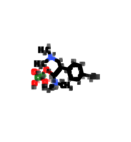 CCCCc1ccc(C(CN(C)C)=C(O[Cl+3]([O-])([O-])[O-])N(C)C)cc1